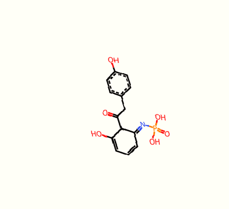 O=C(Cc1ccc(O)cc1)C1C(O)=CC=C/C1=N\P(=O)(O)O